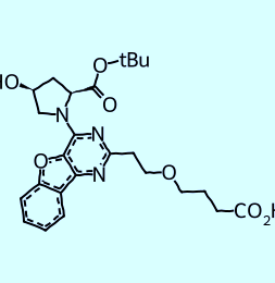 CC(C)(C)OC(=O)[C@@H]1C[C@H](O)CN1c1nc(CCOCCCC(=O)O)nc2c1oc1ccccc12